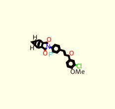 COc1ccc(C(=O)/C=C/c2ccc(N3C(=O)C4C(C3=O)C3C=CC4[C@H]4C[C@@H]34)c(F)c2)cc1Cl